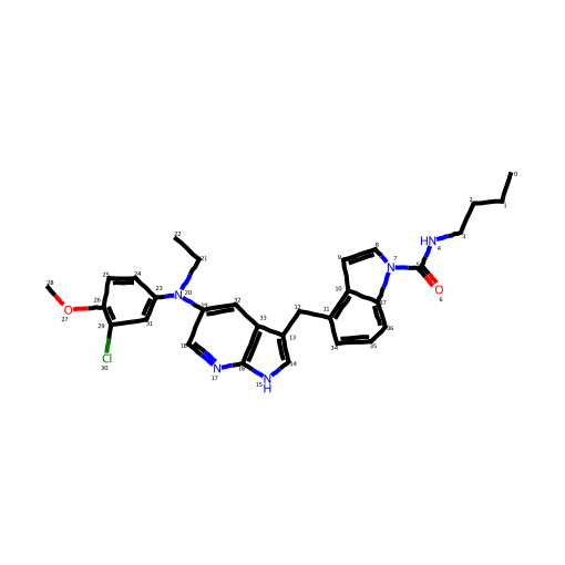 CCCCNC(=O)n1ccc2c(Cc3c[nH]c4ncc(N(CC)c5ccc(OC)c(Cl)c5)cc34)cccc21